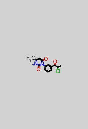 CC(Cl)C(=O)c1cccc(-n2c(=O)cc(C(F)(F)F)n(C)c2=O)c1